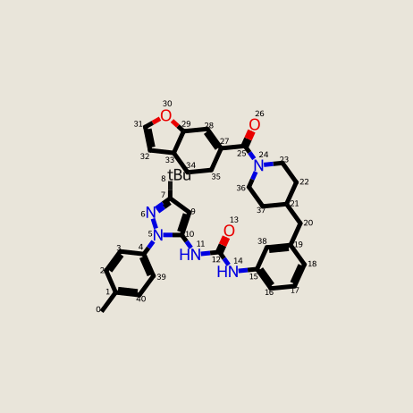 Cc1ccc(-n2nc(C(C)(C)C)cc2NC(=O)Nc2cccc(CC3CCN(C(=O)C4=CC5OC=CC5CC4)CC3)c2)cc1